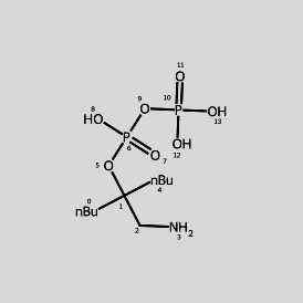 CCCCC(CN)(CCCC)OP(=O)(O)OP(=O)(O)O